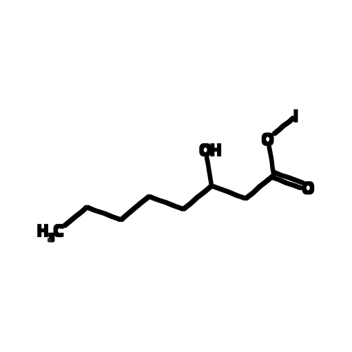 CCCCCC(O)CC(=O)OI